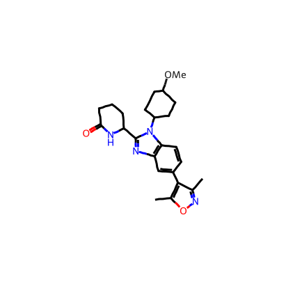 COC1CCC(n2c(C3CCCC(=O)N3)nc3cc(-c4c(C)noc4C)ccc32)CC1